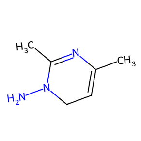 CC1=CCN(N)C(C)=N1